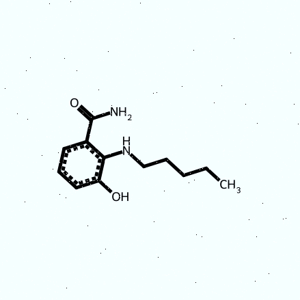 CCCCCNc1c(O)cccc1C(N)=O